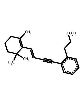 CC1=C(C=CC#Cc2ccccc2CCC(=O)O)C(C)(C)CCC1